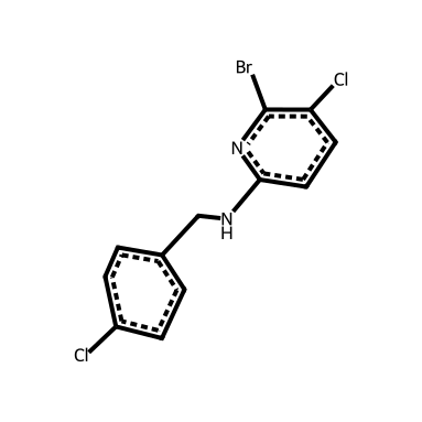 Clc1ccc(CNc2ccc(Cl)c(Br)n2)cc1